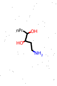 CCCC(O)C(O)CCN